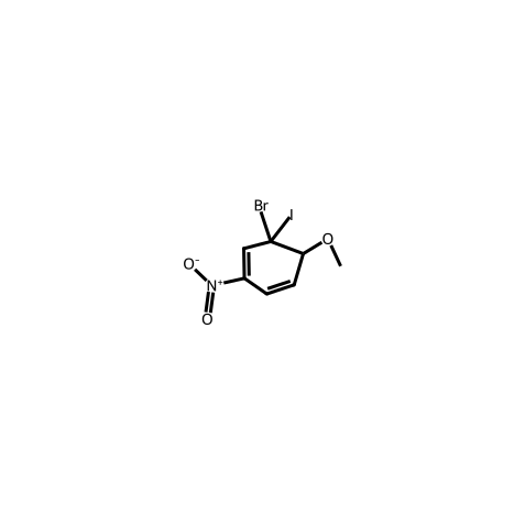 COC1C=CC([N+](=O)[O-])=CC1(Br)I